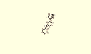 c1ccc(Oc2cccc(-c3cc[nH]n3)c2)cc1